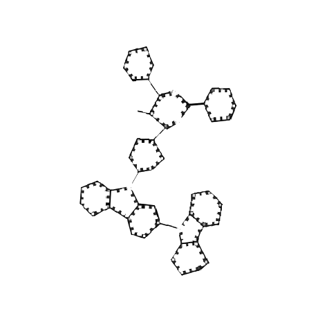 Cc1c(-c2ccccc2)nc(-c2ccccc2)nc1-c1ccc(-n2c3ccccc3c3ccc(-n4c5ccccc5c5ccccc54)cc32)cc1